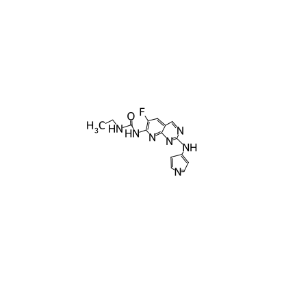 CCNC(=O)Nc1nc2nc(Nc3ccncc3)ncc2cc1F